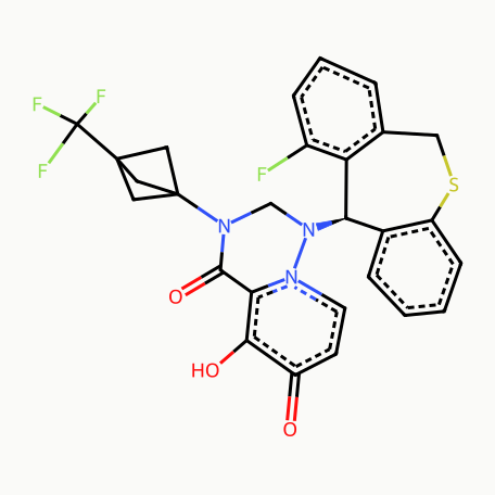 O=C1c2c(O)c(=O)ccn2N([C@@H]2c3ccccc3SCc3cccc(F)c32)CN1C12CC(C(F)(F)F)(C1)C2